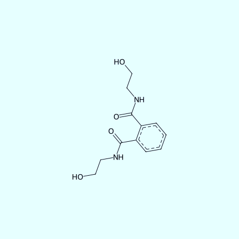 O=C(NCCO)c1ccccc1C(=O)NCCO